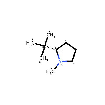 CN1CCC[C@H]1C(C)(C)C